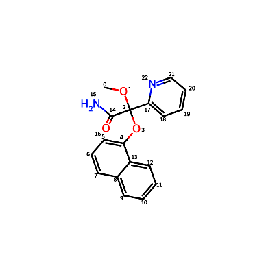 COC(Oc1cccc2ccccc12)(C(N)=O)c1ccccn1